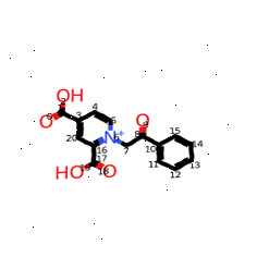 O=C(O)c1cc[n+](CC(=O)c2ccccc2)c(C(=O)O)c1